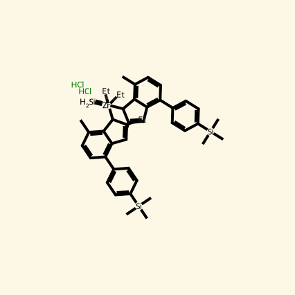 CCC1=Cc2c(-c3ccc([Si](C)(C)C)cc3)ccc(C)c2[CH]1[Zr](=[SiH2])([CH2]C)([CH2]C)[CH]1C(C)=Cc2c(-c3ccc([Si](C)(C)C)cc3)ccc(C)c21.Cl.Cl